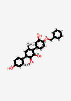 CCOc1c(-c2ccc(O)cc2)cc(OC)c(-c2ccc(OCc3ccccc3)c(O)c2)c1O